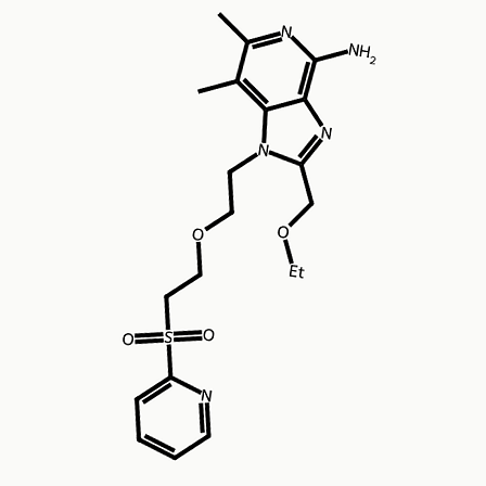 CCOCc1nc2c(N)nc(C)c(C)c2n1CCOCCS(=O)(=O)c1ccccn1